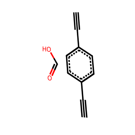 C#Cc1ccc(C#C)cc1.O=CO